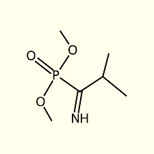 COP(=O)(OC)C(=N)C(C)C